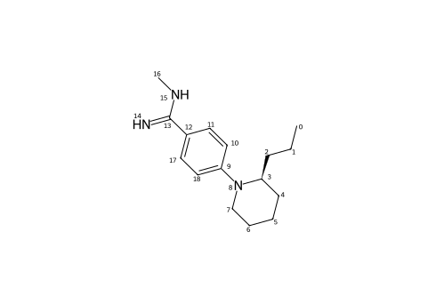 CCC[C@H]1CCCCN1c1ccc(C(=N)NC)cc1